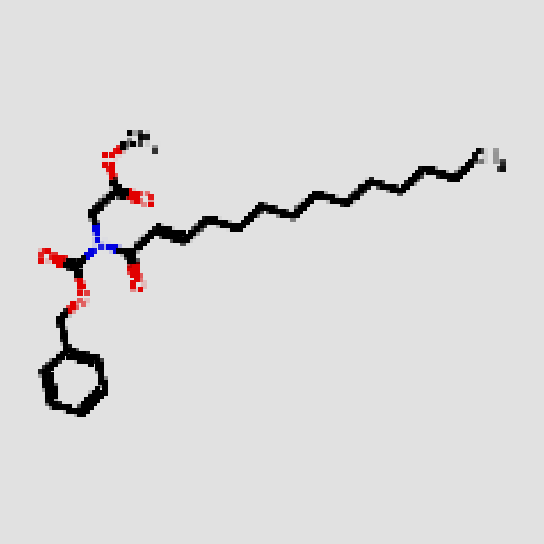 CCCCCCCCCCC/C=C/C(=O)N(CC(=O)OC)C(=O)OCc1ccccc1